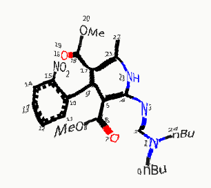 CCCCN(C=NC1=C(C(=O)OC)C(c2ccccc2[N+](=O)[O-])C(C(=O)OC)=C(C)N1)CCCC